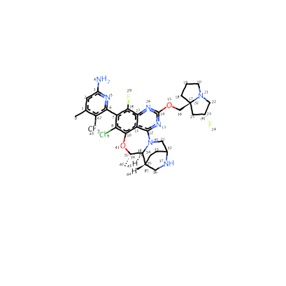 Cc1cc(N)nc(-c2c(Cl)c3c4c(nc(OC[C@@]56CCCN5C[C@H](F)C6)nc4c2F)N2CC4CC[C@H](CN4)[C@H]2[C@H](C)O3)c1C(F)(F)F